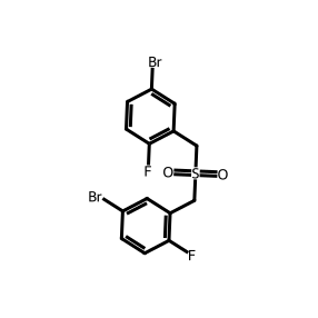 O=S(=O)(Cc1cc(Br)ccc1F)Cc1cc(Br)ccc1F